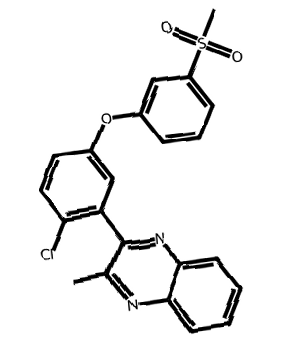 Cc1nc2ccccc2nc1-c1cc(Oc2cccc(S(C)(=O)=O)c2)ccc1Cl